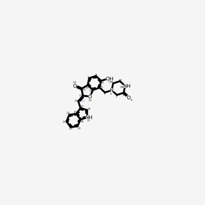 O=C1CN(Cc2c(O)ccc3c2O/C(=C\c2c[nH]c4ccccc24)C3=O)CCN1